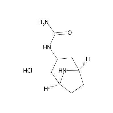 Cl.NC(=O)NC1C[C@H]2CC[C@@H](C1)N2